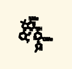 CNc1nc(Nc2cnc(-n3cnc(C)c3)c(OC)c2)nc2c1C(C)(C)CN2c1cccc(F)c1F